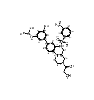 N#CCC(=O)N1CCN2c3ccc(-c4cc(F)cc(OC(F)F)c4)cc3N(S(=O)(=O)c3cccc(C(F)(F)F)c3)CC2C1